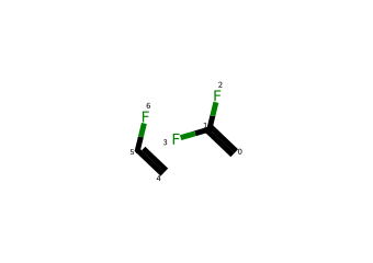 C=C(F)F.C=CF